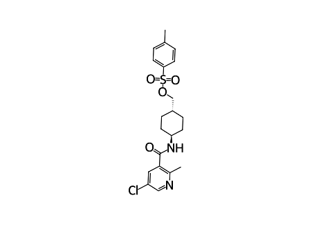 Cc1ccc(S(=O)(=O)OC[C@H]2CC[C@H](NC(=O)c3cc(Cl)cnc3C)CC2)cc1